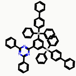 c1ccc(-c2ccc([Si](c3ccccc3)(c3ccccc3)c3cc(-c4nc(-c5ccccc5)nc(-c5ccccc5)n4)cc([Si](c4ccccc4)(c4ccccc4)c4ccc(-c5ccccc5)cc4)c3)cc2)cc1